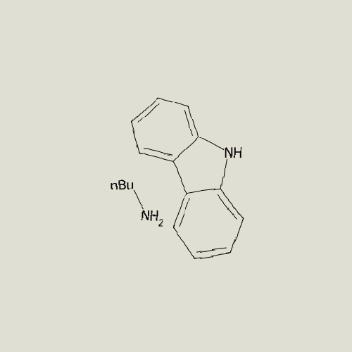 CCCCN.c1ccc2c(c1)[nH]c1ccccc12